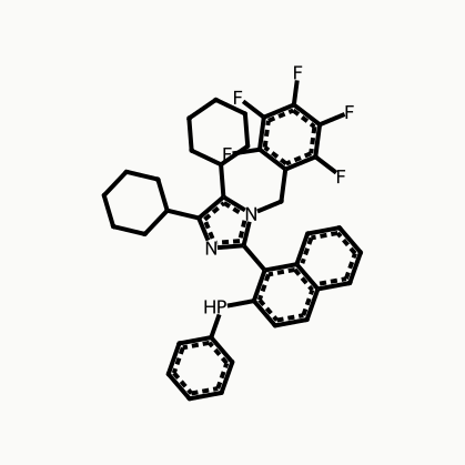 Fc1c(F)c(F)c(Cn2c(-c3c(Pc4ccccc4)ccc4ccccc34)nc(C3CCCCC3)c2C2CCCCC2)c(F)c1F